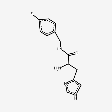 NC(Cc1c[nH]cn1)C(=O)NCc1ccc(F)cc1